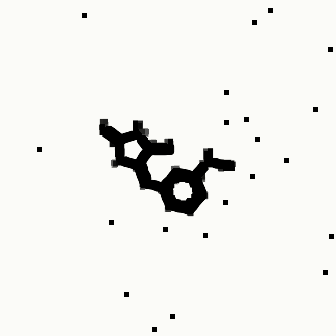 CCNc1cccc(C=C2SC(=S)NC2=O)c1